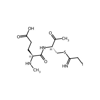 CN[C@@H](CCC(=O)O)C(=O)N[C@@H](CSC(=N)CI)C(C)=O